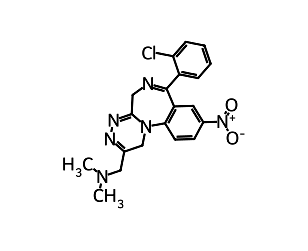 CN(C)CC1=NN=C2CN=C(c3ccccc3Cl)c3cc([N+](=O)[O-])ccc3N2C1